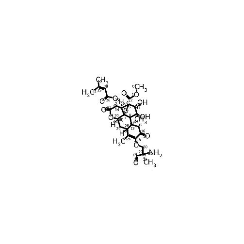 COC(=O)[C@@]12OC[C@]34C([C@@H](O)[C@@H]1O)[C@@]1(C)CC(=O)C(OC[C@@](C)(N)C=O)=C(C)[C@@H]1C[C@H]3OC(=O)[C@H](OC(=O)C=C(C)C)[C@@H]24